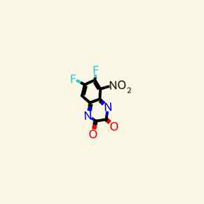 O=C1N=c2cc(F)c(F)c([N+](=O)[O-])c2=NC1=O